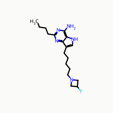 CCCCc1nc(N)c2[nH]cc(CCCCCN3CC(F)C3)c2n1